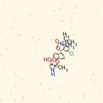 CC(=O)[C@H]1CNCC[C@@H]1C(=O)O.CC(C)(C)CN1C(=O)COC(c2cccc3ccccc23)c2cc(Cl)ccc21